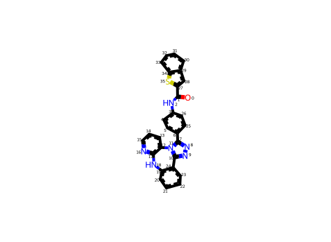 O=C(Nc1ccc(-c2nnc3n2-c2cccnc2Nc2ccccc2-3)cc1)c1cc2ccccc2s1